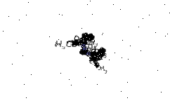 CCOC(=O)CC1Cc2ccc3ccccc3c2C(C)(C)/C1=C\C=C1/CCCC(/C=C/C2=C3CC3(CC(=O)OCC)c3ccc4ccccc4c3C2(C)C)=C1O